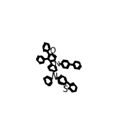 c1ccc(-c2ccc(-n3c4cc(N(c5ccccc5)c5ccc6c(c5)sc5ccccc56)ccc4c4c(-c5ccccc5)c5c(cc43)oc3ccccc35)cc2)cc1